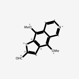 COc1c2cnccc2c(OC)c2sc(C=O)cc12